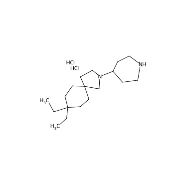 CCC1(CC)CCC2(CCN(C3CCNCC3)C2)CC1.Cl.Cl